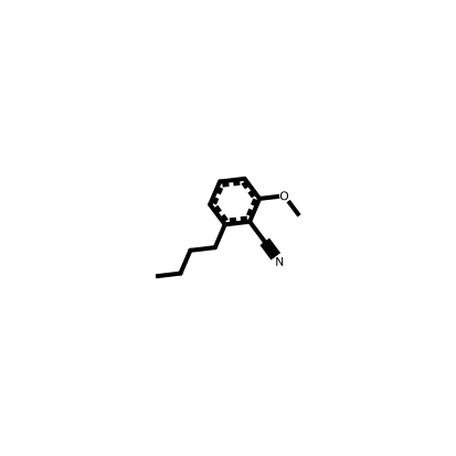 CCCCc1cccc(OC)c1C#N